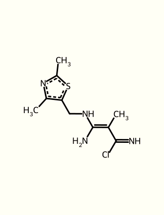 C/C(C(=N)Cl)=C(/N)NCc1sc(C)nc1C